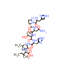 CC[C@H](C)[C@H](NC(=O)[C@H](CC(C)C)NC(=O)[C@H](Cc1c[nH]cn1)NC(=O)[C@@H](NC(=O)[C@H](CC(N)=O)NC(=O)[C@@H]1CCCN1C(=O)[C@@H](N)Cc1c[nH]cn1)[C@@H](C)O)C(=O)O